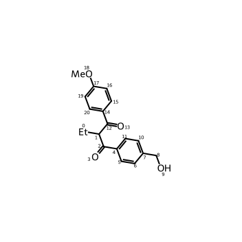 CCC(C(=O)c1ccc(CO)cc1)C(=O)c1ccc(OC)cc1